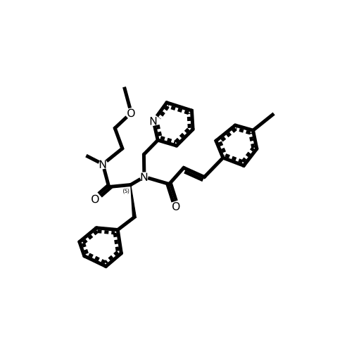 COCCN(C)C(=O)[C@H](Cc1ccccc1)N(Cc1ccccn1)C(=O)C=Cc1ccc(C)cc1